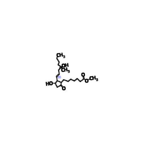 CCCC[C@](C)(O)C/C=C/C1C(O)CC(=O)C1CCCCCCC(=O)OC